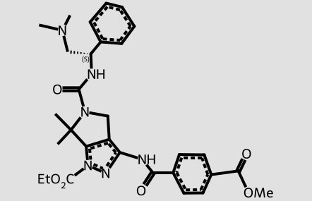 CCOC(=O)n1nc(NC(=O)c2ccc(C(=O)OC)cc2)c2c1C(C)(C)N(C(=O)N[C@H](CN(C)C)c1ccccc1)C2